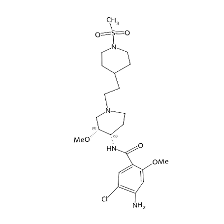 COc1cc(N)c(Cl)cc1C(=O)N[C@H]1CCN(CCC2CCN(S(C)(=O)=O)CC2)C[C@H]1OC